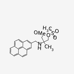 COCC(C)(COS(C)(=O)=O)NCc1cc2ccc3cccc4ccc(c1)c2c34